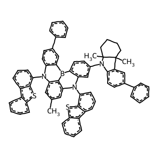 Cc1cc2c3c(c1)N(c1cccc4c1sc1ccccc14)c1cc(N4c5ccc(-c6ccccc6)cc5C5(C)CCCCC45C)ccc1B3c1cc(-c3ccccc3)ccc1N2c1cccc2c1sc1ccccc12